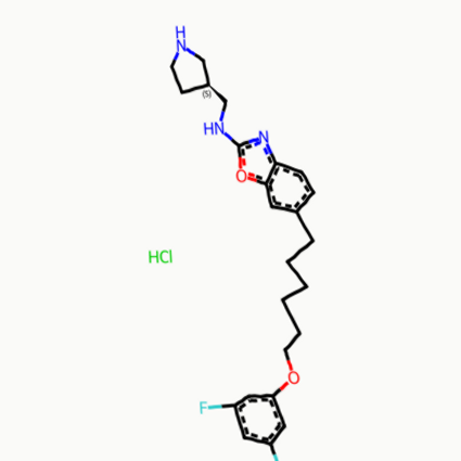 Cl.Fc1cc(F)cc(OCCCCCCc2ccc3nc(NC[C@H]4CCNC4)oc3c2)c1